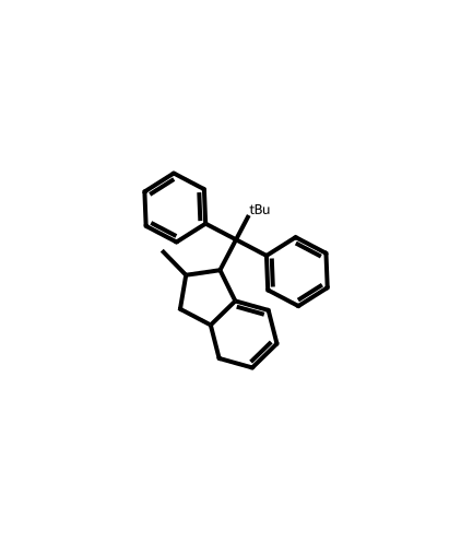 CC1CC2CC=CC=C2C1C(c1ccccc1)(c1ccccc1)C(C)(C)C